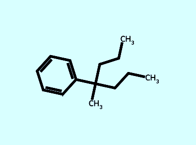 CCCC(C)(CCC)c1[c]cccc1